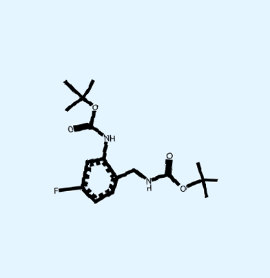 CC(C)(C)OC(=O)NCc1ccc(F)cc1NC(=O)OC(C)(C)C